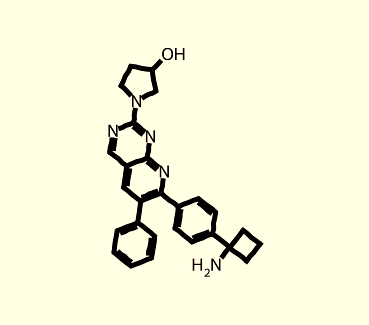 NC1(c2ccc(-c3nc4nc(N5CCC(O)C5)ncc4cc3-c3ccccc3)cc2)CCC1